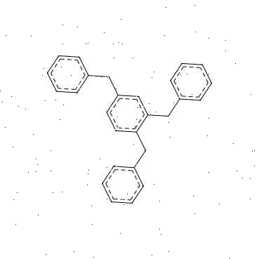 c1ccc(Cc2ccc(Cc3ccccc3)c(Cc3ccccc3)c2)cc1